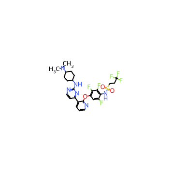 CN(C)C1CCC(Nc2nccc(-c3cccnc3Oc3cc(F)c(NS(=O)(=O)CCC(F)(F)F)c(F)c3F)n2)CC1